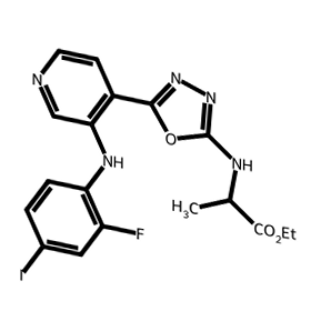 CCOC(=O)C(C)Nc1nnc(-c2ccncc2Nc2ccc(I)cc2F)o1